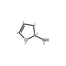 [NH]N1CC=CO1